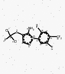 Nc1c(SC(F)(Cl)Cl)cnn1-c1cc(F)c(C(F)(F)F)cc1F